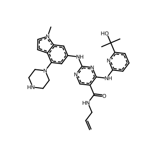 C=CCNC(=O)c1cnc(Nc2cc(N3CCNCC3)c3ccn(C)c3c2)nc1Nc1cccc(C(C)(C)O)n1